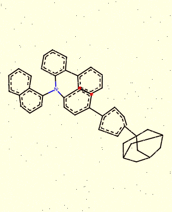 c1ccc(-c2ccccc2N(c2ccc(-c3ccc(C45CC6CC(CC(C6)C4)C5)cc3)cc2)c2cccc3ccccc23)cc1